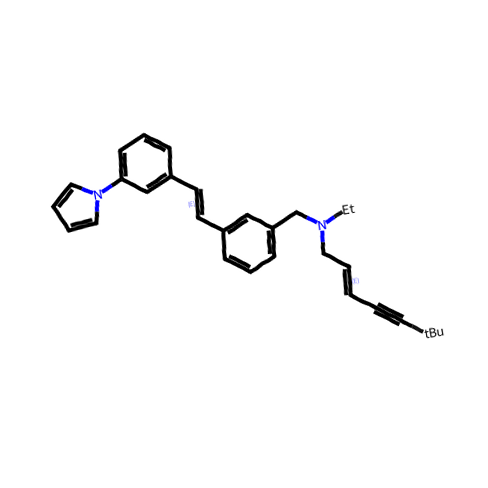 CCN(C/C=C/C#CC(C)(C)C)Cc1cccc(/C=C/c2cccc(-n3cccc3)c2)c1